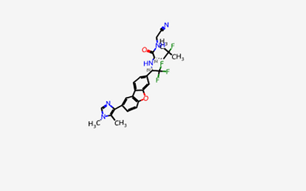 Cc1c(-c2ccc3oc4cc([C@H](N[C@@H](CC(C)(C)F)C(=O)NCC#N)C(F)(F)F)ccc4c3c2)ncn1C